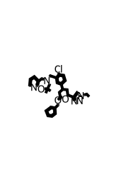 CCn1cc(CCC(CC(=O)OCc2ccccc2)c2ccc(Cl)c(CN3Cc4cccnc4OC(C)(C)C3)c2)nn1